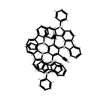 N#Cc1c(-n2c3ccccc3c3ccccc32)c(-n2c3ccccc3c3ccc4c(c5ccccc5n4-c4ccccc4)c32)c(-n2c3ccccc3c3ccccc32)c(C#N)c1-n1c2ccccc2c2ccc3c(c4ccccc4n3-c3ccccc3)c21